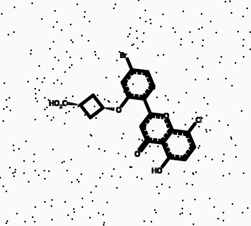 O=c1cc(-c2ccc(Br)cc2O[C@H]2C[C@@H](C(=O)O)C2)oc2c(Cl)ccc(O)c12